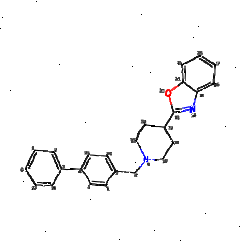 c1ccc(-c2ccc(CN3CCC(c4nc5ccccc5o4)CC3)cc2)cc1